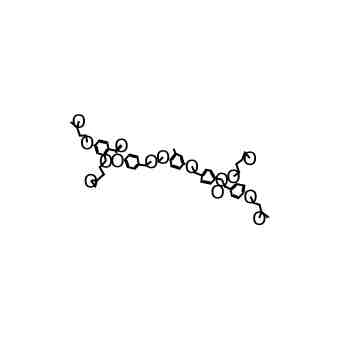 Cc1cc(OCc2ccc(OC(=O)c3ccc(OCCC4CO4)cc3OCCC3CO3)cc2)ccc1OCOCc1ccc(OC(=O)c2ccc(OCCC3CO3)cc2OCCC2CO2)cc1